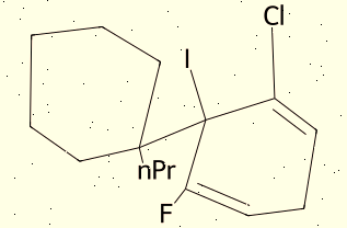 CCCC1(C2(I)C(F)=CCC=C2Cl)CCCCC1